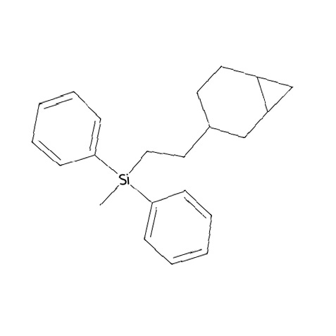 C[Si](CCC1CCC2CC2C1)(c1ccccc1)c1ccccc1